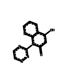 O=c1cc(O)c2cccnc2n1-c1nccnn1